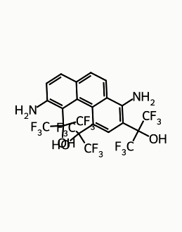 Nc1ccc2ccc3c(N)c(C(O)(C(F)(F)F)C(F)(F)F)cc(C(O)(C(F)(F)F)C(F)(F)F)c3c2c1C(O)(C(F)(F)F)C(F)(F)F